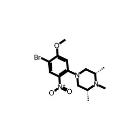 COc1cc(N2C[C@@H](C)N(C)[C@@H](C)C2)c([N+](=O)[O-])cc1Br